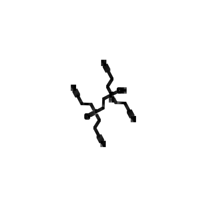 N#CCCP(=O)(CCC#N)CC[PH](O)(CCC#N)CCC#N